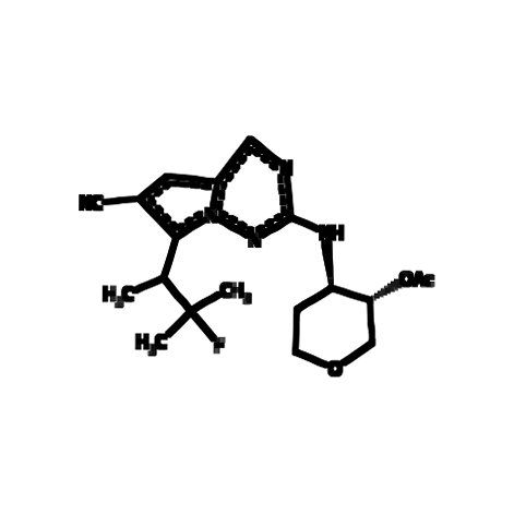 CC(=O)O[C@@H]1COCC[C@H]1Nc1ncc2cc(C#N)c(C(C)C(C)(C)F)n2n1